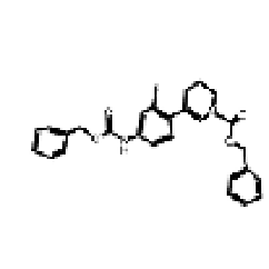 O=C(Nc1ccc(C2=CN(C(=O)OCc3ccccc3)CCC2)c(F)c1)OCc1ccccc1